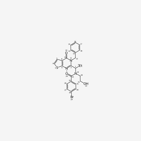 CCC(c1nc2sccc2c(=O)n1Cc1ccccc1)N(CCO)C(=O)c1ccc(Br)cc1